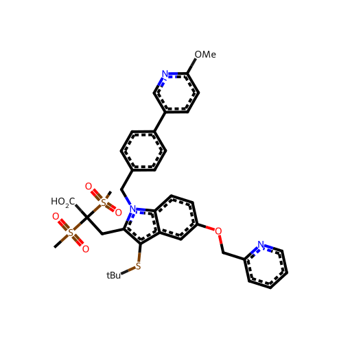 COc1ccc(-c2ccc(Cn3c(CC(C(=O)O)(S(C)(=O)=O)S(C)(=O)=O)c(SC(C)(C)C)c4cc(OCc5ccccn5)ccc43)cc2)cn1